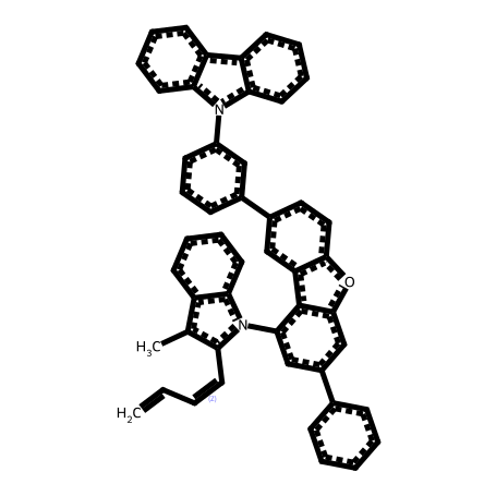 C=C/C=C\c1c(C)c2ccccc2n1-c1cc(-c2ccccc2)cc2oc3ccc(-c4cccc(-n5c6ccccc6c6ccccc65)c4)cc3c12